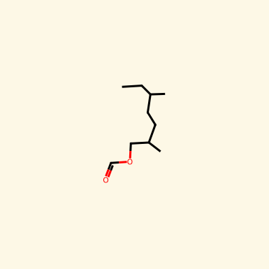 CCC(C)CCC(C)COC=O